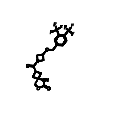 O=C1N[C@]2(CO1)C[C@H](C(=O)N1CC(OCc3ccc(C(F)(F)F)c(C(F)(F)F)c3)C1)C2